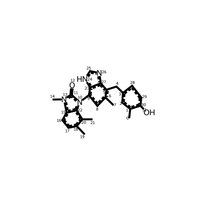 Cc1cc(Cc2c(C)cc(-n3c(=O)n(C)c4ccc(C)c(C)c43)c3[nH]cnc23)ccc1O